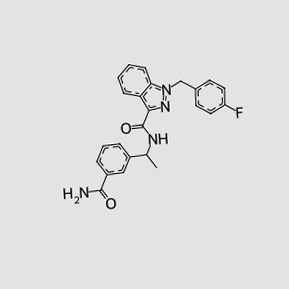 CC(NC(=O)c1nn(Cc2ccc(F)cc2)c2ccccc12)c1cccc(C(N)=O)c1